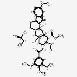 COC(=O)[C@H]1[C@H]2C[C@@H]3c4[nH]c5cc(OC)ccc5c4CCN3C[C@H]2C[C@@H](OC(=O)c2cc(OC)c(OC)c(OC)c2)[C@@H]1OC.NCC(=O)O